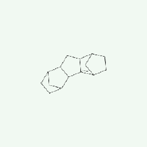 C1CC2CC1=C1C2CC2C3CCC(C3)C12